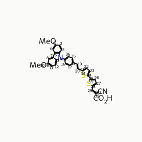 COc1ccc2c(c1)c1cc(OC)ccc1n2-c1ccc(C=Cc2ccc(-c3ccc(/C=C(\C#N)C(=O)O)s3)s2)cc1